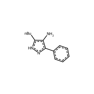 CCCCc1[nH]nc(-c2ccccc2)c1N